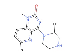 CCC1CNCCN1c1nc(=O)n(C)c2ccc(C#N)nc12